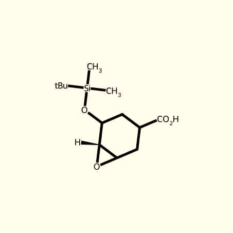 CC(C)(C)[Si](C)(C)OC1CC(C(=O)O)CC2O[C@@H]21